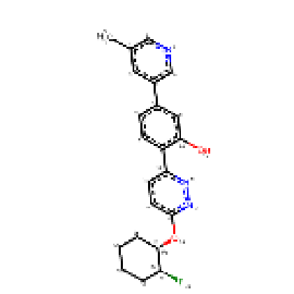 Cc1cncc(-c2ccc(-c3ccc(O[C@@H]4CCCC[C@@H]4F)nn3)c(O)c2)c1